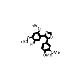 CCCCOc1cc(OCCCC)c(C(C)C)cc1-c1ncoc1-c1ccc(OC)c(OC)c1